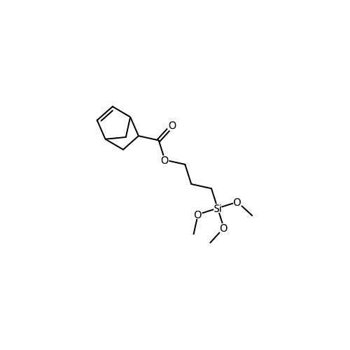 CO[Si](CCCOC(=O)C1CC2C=CC1C2)(OC)OC